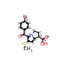 CSc1cc2n(c1C(=O)c1ccc(Br)cc1)CCC2C(=O)O